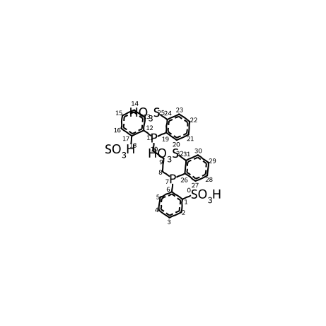 O=S(=O)(O)c1ccccc1P(CCCP(c1ccccc1S(=O)(=O)O)c1ccccc1S(=O)(=O)O)c1ccccc1S(=O)(=O)O